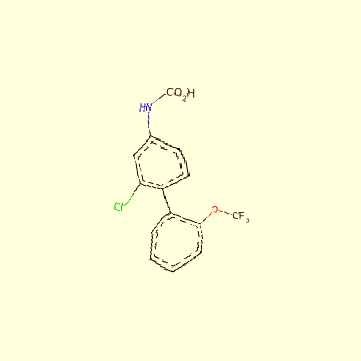 O=C(O)Nc1ccc(-c2ccccc2OC(F)(F)F)c(Cl)c1